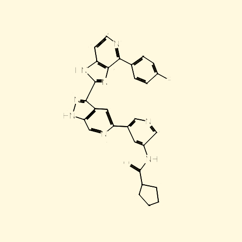 O=C(Nc1cncc(-c2cc3c(-c4nc5c(-c6ccc(F)cc6)nccc5[nH]4)n[nH]c3cn2)c1)C1CCCC1